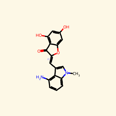 Cn1cc(/C=C2\Oc3cc(O)cc(O)c3C2=O)c2c(N)cccc21